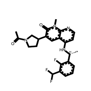 CC(=O)N1CCC(c2cc3c(N[C@H](C)c4cccc(C(F)F)c4F)ccnc3n(C)c2=O)C1